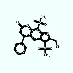 CS(=O)(=O)c1c(CCl)oc2c(S(C)(=O)=O)c3oc(=O)cc(-c4ccccc4)c3cc12